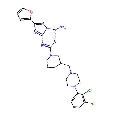 Nc1nc(N2CCCC(CN3CCN(c4cccc(Cl)c4Cl)CC3)C2)nc2nc(-c3ccco3)nn12